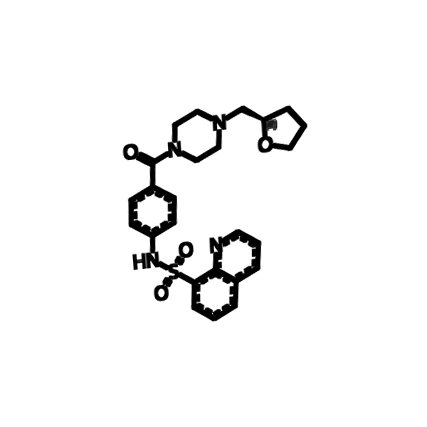 O=C(c1ccc(NS(=O)(=O)c2cccc3cccnc23)cc1)N1CCN(C[C@H]2CCCO2)CC1